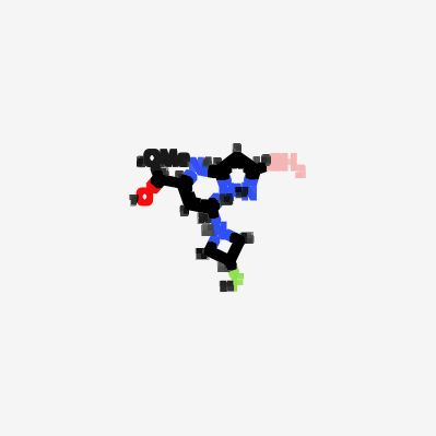 Bc1cc2nc(C(=O)OC)cc(N3CC(F)C3)n2n1